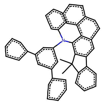 CC1(C)c2ccccc2-c2cc3ccc4ccccc4c3c(N(c3ccccc3)c3cc(-c4ccccc4)cc(-c4ccccc4)c3)c21